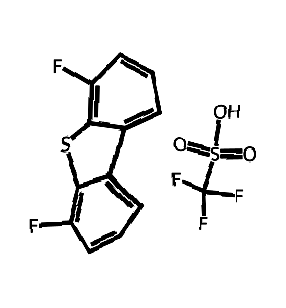 Fc1cccc2c1sc1c(F)cccc12.O=S(=O)(O)C(F)(F)F